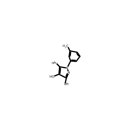 CCCc1nn(-c2cccc(C)c2)c(CCC)c1O